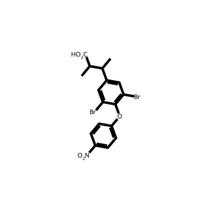 CC(C(=O)O)C(C)c1cc(Br)c(Oc2ccc([N+](=O)[O-])cc2)c(Br)c1